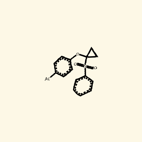 CC(=O)c1ccc(OC2(S(=O)(=O)c3ccccc3)CC2)cc1